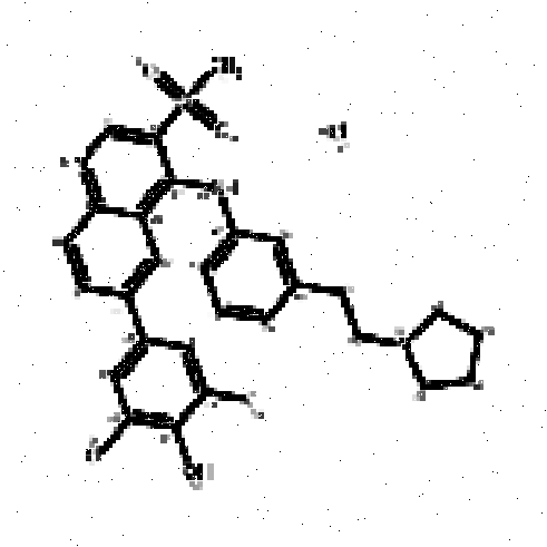 CS(=O)(=O)c1cnc2ccc(-c3cc(Cl)c(O)c(Cl)c3)cc2c1Nc1cccc(CCN2CCCC2)c1.Cl